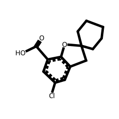 O=C(O)c1cc(Cl)cc2c1OC1(CCCCC1)C2